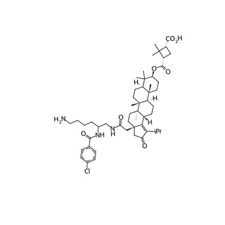 CC(C)C1=C2[C@H]3CC[C@@H]4[C@@]5(C)CC[C@H](OC(=O)[C@H]6C[C@@H](C(=O)O)C6(C)C)C(C)(C)[C@@H]5CC[C@@]4(C)[C@]3(C)CC[C@@]2(CC(=O)NCC(CCCCN)NC(=O)c2ccc(Cl)cc2)CC1=O